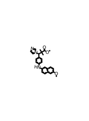 COC(=O)C(C)(C)C(c1ccc(Nc2ccc3cc(OC)ccc3c2)cc1)n1ccnc1